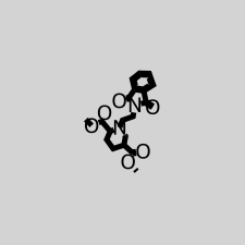 COC(=O)C1CCC(C(=O)OC)N(CCN2C(=O)c3ccccc3C2=O)C1